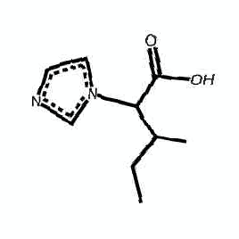 CCC(C)C(C(=O)O)n1ccnc1